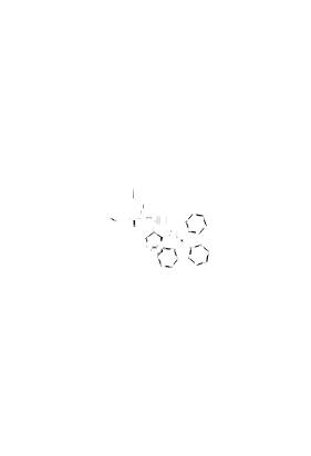 CCCN(Nc1cnn(C)c1NC(c1ccccc1)(c1ccccc1)c1ccccc1)C(=O)OC=O